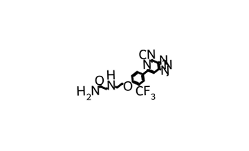 Cn1nnc2c(C#N)nc(-c3ccc(OCCNCC(N)=O)c(C(F)(F)F)c3)cc21